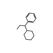 CC[C](c1ccccc1)C1CCCCC1